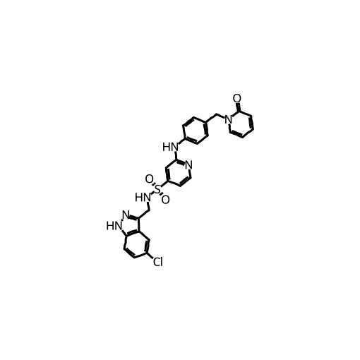 O=c1ccccn1Cc1ccc(Nc2cc(S(=O)(=O)NCc3n[nH]c4ccc(Cl)cc34)ccn2)cc1